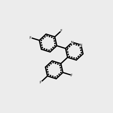 Fc1ccc(-c2ccnnc2-c2ccc(F)cc2F)c(F)c1